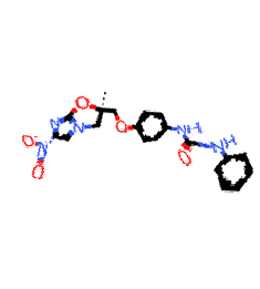 C[C@]1(COc2ccc(NC(=O)Nc3ccccc3)cc2)Cn2cc([N+](=O)[O-])nc2O1